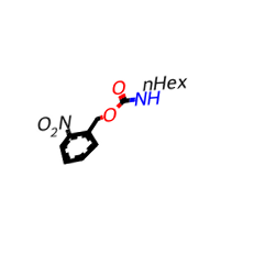 CCCCCCNC(=O)OCc1ccccc1[N+](=O)[O-]